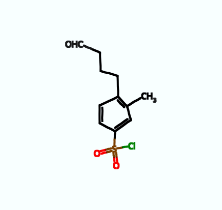 Cc1cc(S(=O)(=O)Cl)ccc1CCCC=O